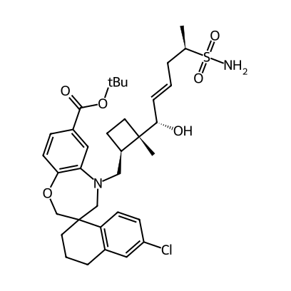 C[C@H](C/C=C/[C@H](O)[C@@]1(C)CC[C@@H]1CN1CC2(CCCc3cc(Cl)ccc32)COc2ccc(C(=O)OC(C)(C)C)cc21)S(N)(=O)=O